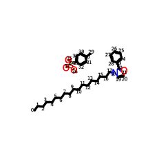 CCCCCCCCCCCCCCCCCC[n+]1ccoc1-c1ccccc1.Cc1ccc(S(=O)(=O)[O-])cc1